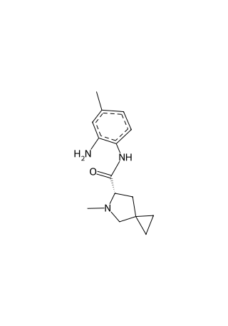 Cc1ccc(NC(=O)[C@@H]2CC3(CC3)CN2C)c(N)c1